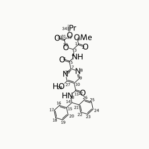 COC(=O)C(NC(=O)c1ncc(C(=O)NC(c2ccccc2)c2ccccc2)c(O)n1)OC(=O)OC(C)C